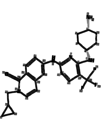 N[C@H]1CC[C@@H](Nc2nc(Nc3ccc4c(=O)n(CC5CC5)ccc4c3)ncc2C(F)(F)F)CC1